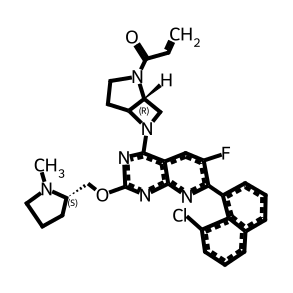 C=CC(=O)N1CCC2[C@H]1CN2c1nc(OC[C@@H]2CCCN2C)nc2nc(-c3cccc4cccc(Cl)c34)c(F)cc12